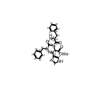 COC(=O)[C@H](Cc1c[nH]cn1)N(C(=O)[C@@H](N)Cc1ccccc1)C(=O)N(N)Cc1ccccc1